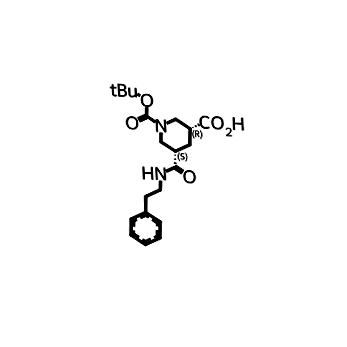 CC(C)(C)OC(=O)N1C[C@H](C(=O)O)C[C@H](C(=O)NCCc2ccccc2)C1